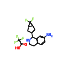 Nc1ccc2c(c1)C(C1CC3C(C1)C3(F)F)NCC2.O=C(O)C(F)(F)F